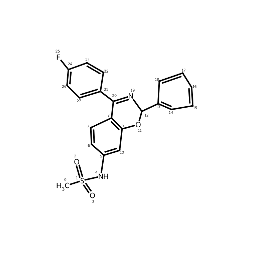 CS(=O)(=O)Nc1ccc2c(c1)OC(c1ccccc1)N=C2c1ccc(F)cc1